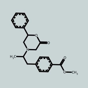 COC(=O)c1ccc(CC(C)N2CC(=O)OC(c3ccccc3)C2)cc1